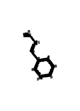 CC(C)(C)/N=C/c1cccnc1